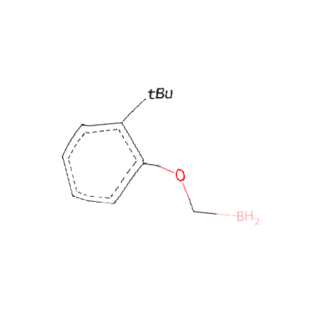 BCOc1ccccc1C(C)(C)C